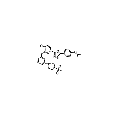 CC(C)Oc1ccc(-c2nnc(-c3ccc(=O)n(Cc4cccc(N5CCC(S(C)(=O)=O)CC5)c4)n3)o2)cc1